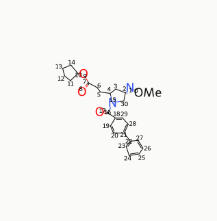 CO/N=C1/CC(CCC(=O)OC2CCCC2)N(C(=O)c2ccc(-c3ccccc3)cc2)C1